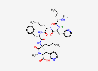 CCCC[C@H](NC(=O)[C@H](Cc1cccnc1)N(F)C(=O)[C@H](CCC)NC)C(=O)N[C@@H](Cc1ccccc1)C(=O)N[C@@](F)(CCCC)C(=O)N(C)[C@@H](Cc1cccnc1)C(=O)O